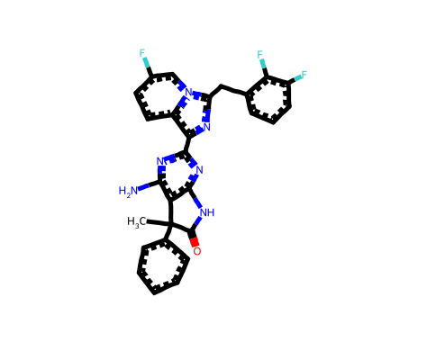 CC1(c2ccccc2)C(=O)Nc2nc(-c3nc(Cc4cccc(F)c4F)n4cc(F)ccc34)nc(N)c21